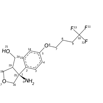 N[C@@]1(c2ccc(OCCCC(F)(F)F)cc2)COCC1CO